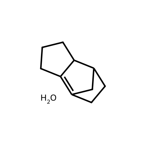 C1CC2=C3CCC(C3)C2C1.O